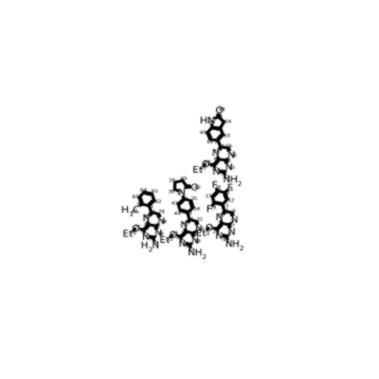 CCOc1nc(N)nc2ncc(-c3cc(F)c(F)cc3F)nc12.CCOc1nc(N)nc2ncc(-c3ccc(N4CCCC4=O)cc3)nc12.CCOc1nc(N)nc2ncc(-c3ccc4c(c3)CC(=O)N4)nc12.CCOc1nc(N)nc2ncc(-c3ccccc3C)nc12